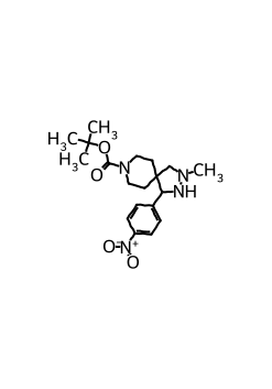 CN1CC2(CCN(C(=O)OC(C)(C)C)CC2)C(c2ccc([N+](=O)[O-])cc2)N1